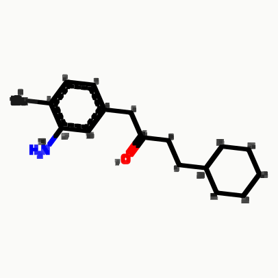 CC(C)(C)c1ccc(CC(=O)CCC2CCCCC2)cc1N